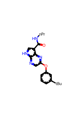 CCCNC(=O)c1c[nH]c2ncc(Oc3cccc(C(C)(C)C)c3)nc12